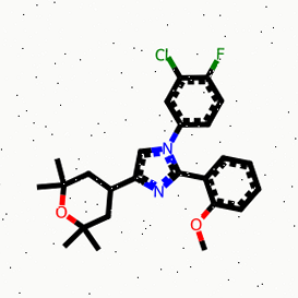 COc1ccccc1-c1nc(C2CC(C)(C)OC(C)(C)C2)cn1-c1ccc(F)c(Cl)c1